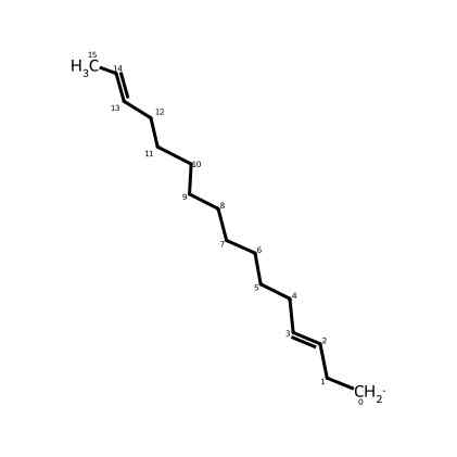 [CH2]CC=CCCCCCCCCCC=CC